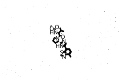 COC(=O)N[C@H](C(=O)N1CCC[C@H]1c1ncc(-c2ccc(C)c3ncsc23)[nH]1)C(C)C